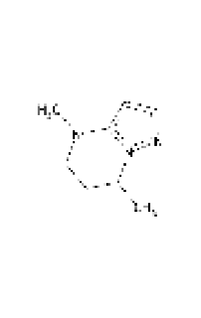 CC1CCN(C)c2ccnn21